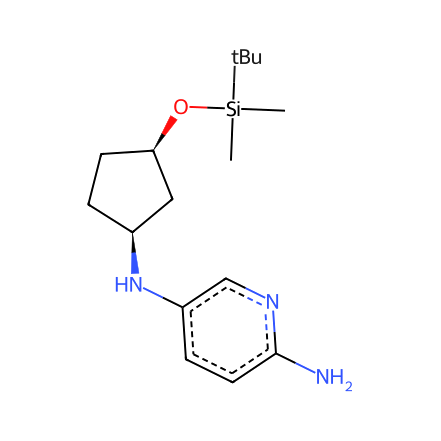 CC(C)(C)[Si](C)(C)O[C@@H]1CC[C@H](Nc2ccc(N)nc2)C1